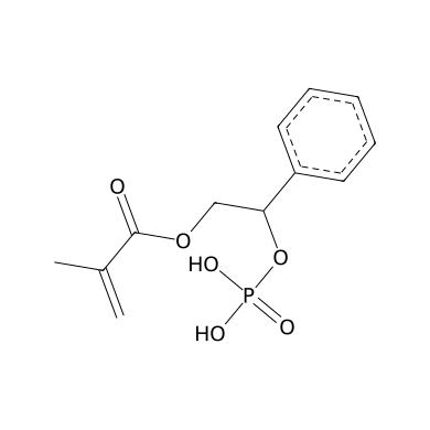 C=C(C)C(=O)OCC(OP(=O)(O)O)c1ccccc1